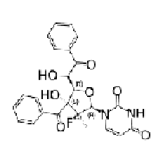 C[C@@]1(F)[C@H](n2ccc(=O)[nH]c2=O)O[C@H](C(O)C(=O)c2ccccc2)[C@]1(O)C(=O)c1ccccc1